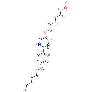 CCCCCCOc1ccc(-c2ncc(OCCCCCCOC)cn2)cc1